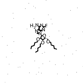 CCCCCOC[C@H]1O[C@@H](n2cnc3c(N)nc(F)nc32)[C@H](OCCCCC)[C@@H]1OCCCCC